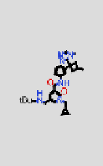 CC1CC(c2cccc(NC(=O)c3cc(CNCC(C)(C)C)cn(CC4CC4)c3=O)c2)(c2nncn2C)C1